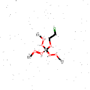 CCOO[Si](OCCCl)(OOCC)OOCC